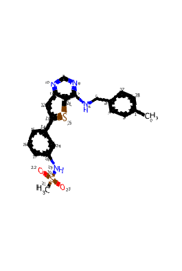 Cc1ccc(CNc2ncnc3cc(-c4cccc(NS(C)(=O)=O)c4)sc23)cc1